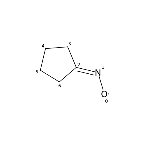 [O]N=C1CCCC1